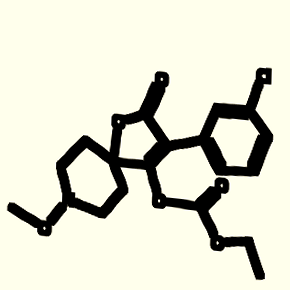 CCOC(=O)OC1=C(c2cccc(Cl)c2)C(=O)OC12CCN(OC)CC2